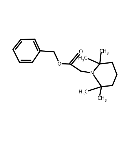 CC1(C)CCCC(C)(C)N1CC(=O)OCc1ccccc1